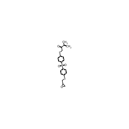 C=C(C)C(=O)CSc1ccc(S(=O)(=O)c2ccc(SCC3CO3)cc2)cc1